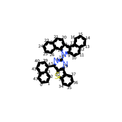 c1ccc2c(-c3nc(-n4c5ccc6ccccc6c5c5ccc6ccccc6c54)nc4c3sc3ccccc34)cccc2c1